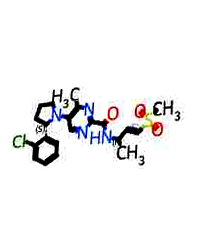 Cc1nc(C(=O)N[C@H](C)/C=C/S(C)(=O)=O)ncc1N1CCC[C@H]1c1ccccc1Cl